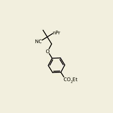 CCCC(C)(C#N)COc1ccc(C(=O)OCC)cc1